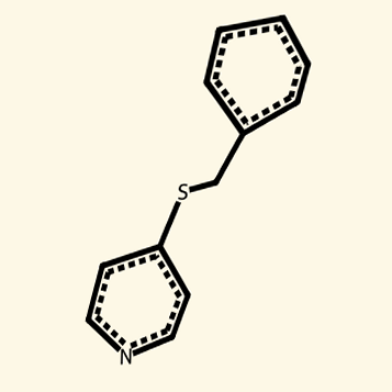 c1ccc(CSc2ccncc2)cc1